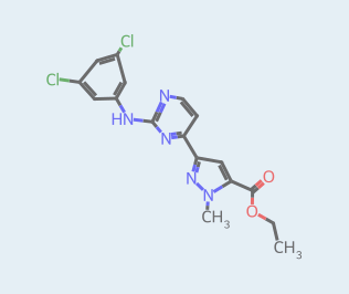 CCOC(=O)c1cc(-c2ccnc(Nc3cc(Cl)cc(Cl)c3)n2)nn1C